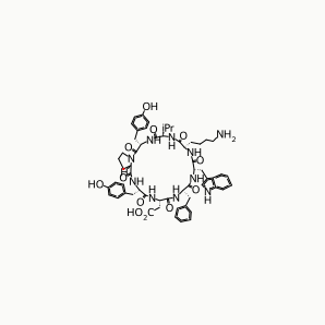 CC(C)[C@H]1NC(=O)[C@H](CCCCN)NC(=O)[C@H](Cc2c[nH]c3ccccc23)NC(=O)[C@H](Cc2ccccc2)NC(=O)[C@H](CC(=O)O)NC(=O)[C@H](Cc2ccc(O)cc2)NC(=O)[C@@H]2CCCN2C(=O)[C@H](Cc2ccc(O)cc2)NC1=O